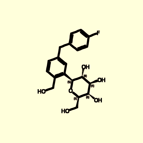 OCc1ccc(Cc2ccc(F)cc2)cc1[C@@H]1O[C@H](CO)[C@@H](O)[C@H](O)[C@H]1O